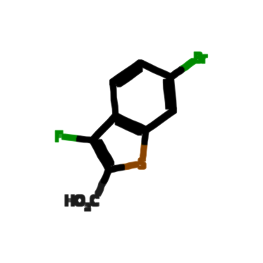 O=C(O)c1sc2cc(Br)ccc2c1F